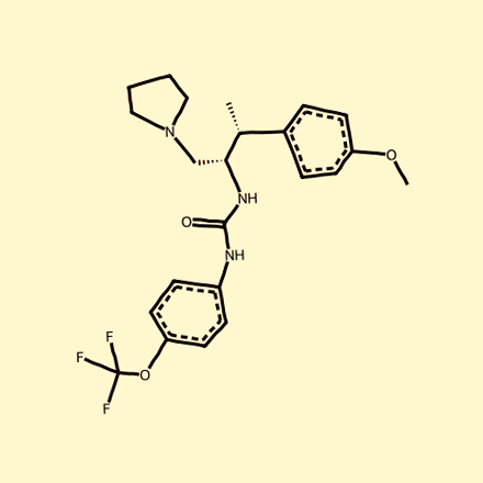 COc1ccc([C@@H](C)[C@@H](CN2CCCC2)NC(=O)Nc2ccc(OC(F)(F)F)cc2)cc1